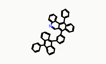 c1ccc(-c2c3ccccc3c(-c3cccc(-c4c5ccccc5c(-c5ccccc5)c5c4cnc4ccccc45)c3)c3ccccc23)cc1